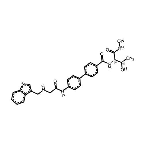 C[C@@H](O)[C@H](NC(=O)c1ccc(-c2ccc(NC(=O)CNCc3csc4ccccc34)cc2)cc1)C(=O)NO